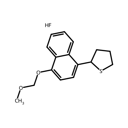 COCOc1ccc(C2CCCS2)c2ccccc12.F